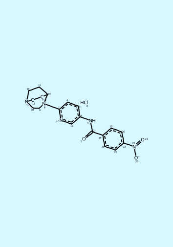 Cl.O=C(Nc1ccc(N2CCN3CCC2CC3)nc1)c1ccc([N+](=O)[O-])cc1